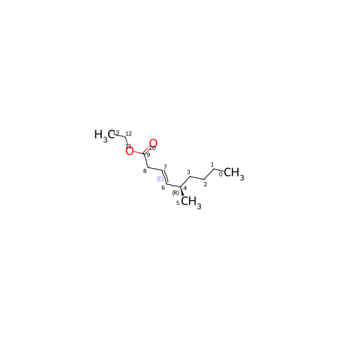 CCCC[C@@H](C)/C=C/CC(=O)OCC